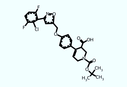 CC(C)(C)OC(=O)N1CC=C(c2ccc(OCc3cc(-c4c(F)ccc(F)c4Cl)no3)cc2)C(C(=O)O)C1